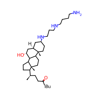 CCC(C)C(=O)CC[C@@H](C)C1CCC2C3C(CC[C@@]21C)[C@@]1(C)CC[C@H](NCCCNCCCCN)C[C@@H]1C[C@H]3O